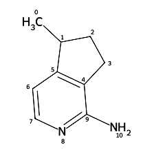 CC1CCc2c1ccnc2N